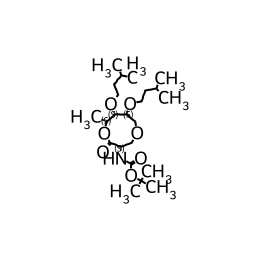 CC(C)CCO[C@H]1[C@H](C)OC(=O)[C@@H](NC(=O)OC(C)(C)C)COC[C@@H]1OCCC(C)C